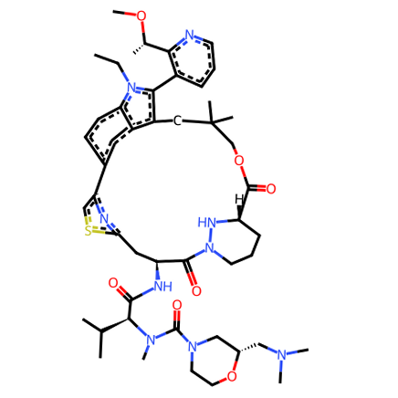 CCn1c(-c2cccnc2[C@H](C)OC)c2c3cc(ccc31)-c1csc(n1)C[C@H](NC(=O)[C@H](C(C)C)N(C)C(=O)N1CCO[C@@H](CN(C)C)C1)C(=O)N1CCC[C@H](N1)C(=O)OCC(C)(C)C2